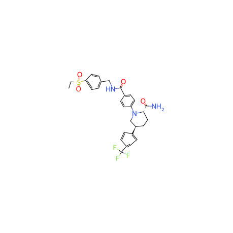 CCS(=O)(=O)c1ccc(CNC(=O)c2ccc(N3C[C@H](c4ccc(C(F)(F)F)cc4)CC[C@H]3C(N)=O)cc2)cc1